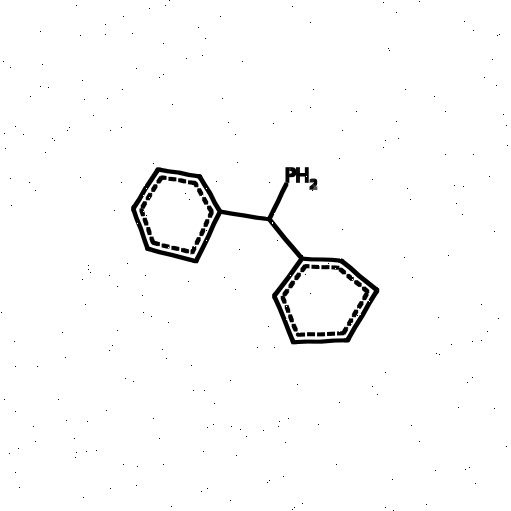 PC(c1ccccc1)c1ccccc1